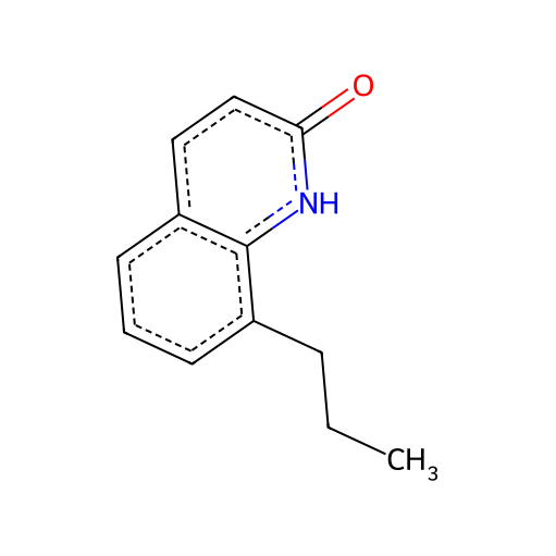 CCCc1cccc2ccc(=O)[nH]c12